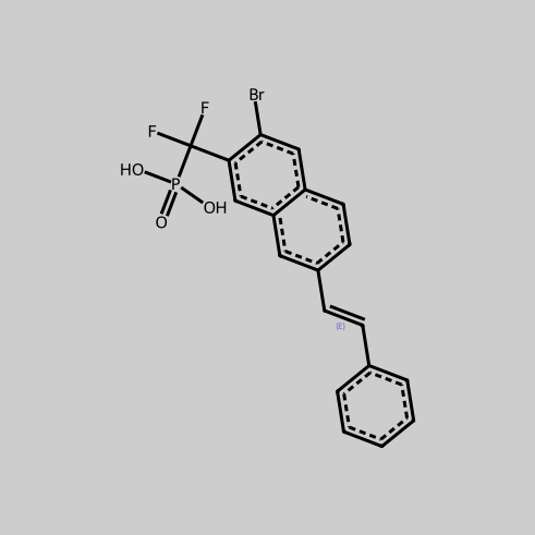 O=P(O)(O)C(F)(F)c1cc2cc(/C=C/c3ccccc3)ccc2cc1Br